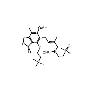 COc1c(C)c2c(c(OCC[Si](C)(C)C)c1C/C=C(\C)CN(C=O)CCP(C)(C)=O)C(=O)OC2